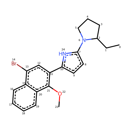 CCC1CCCN1c1ccc(-c2cc(Br)c3ccccc3c2OC)[nH]1